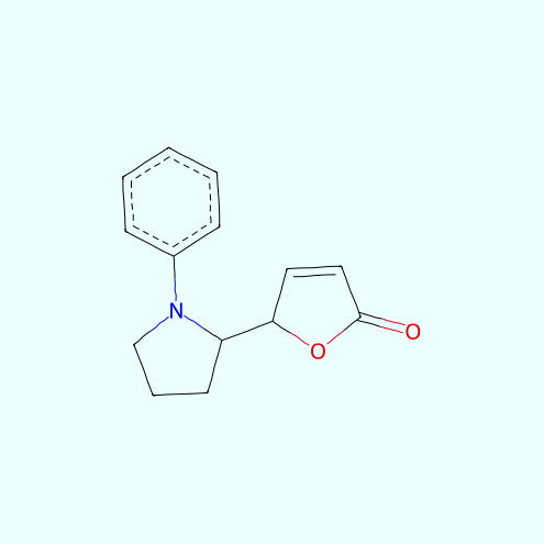 O=C1C=CC(C2CCCN2c2ccccc2)O1